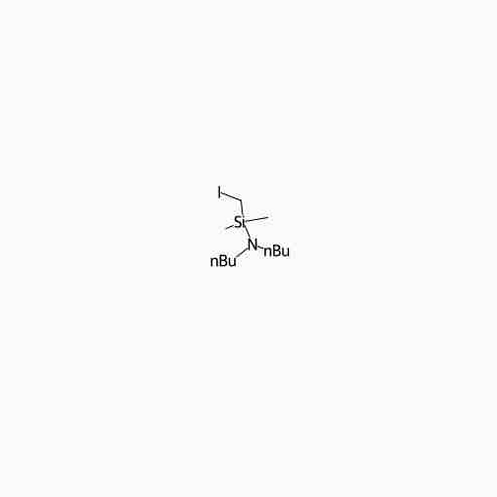 CCCCN(CCCC)[Si](C)(C)CI